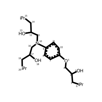 CC(C)CC(O)COc1ccc(N(CC(O)CC(C)C)CC(O)CC(C)C)cc1